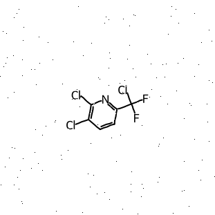 FC(F)(Cl)c1ccc(Cl)c(Cl)n1